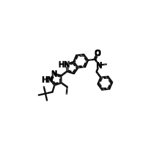 CCc1c(-c2cc3cc(C(=O)N(C)Cc4ccccc4)ccc3[nH]2)n[nH]c1CC(C)(C)C